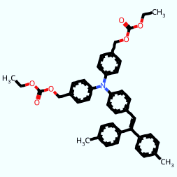 CCOC(=O)OCc1ccc(N(c2ccc(C=C(c3ccc(C)cc3)c3ccc(C)cc3)cc2)c2ccc(COC(=O)OCC)cc2)cc1